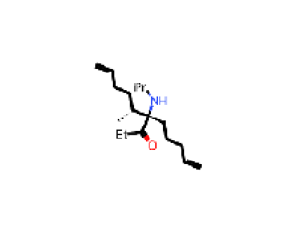 C=CCCC[C@@](NC(C)C)(C(=O)CC)[C@H](C)CCC=C